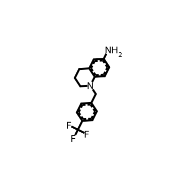 Nc1ccc2c(c1)CCCN2Cc1ccc(C(F)(F)F)cc1